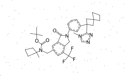 Cn1cnnc1C1(c2cccc(N3Cc4c(cc(CN(C(=O)OC(C)(C)C)C5(C)CCC5)cc4C(F)(F)F)C3=O)c2)CC2(CCC2)C1